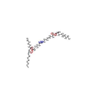 CCCCCCCCC(CCCCCCCC)OC(=O)CCCCCCCNCCCCCCCC(=O)OCC(C)CCCCCCC